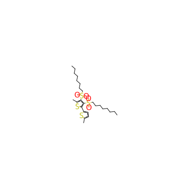 CCCCCCCCS(=O)(=O)c1c(C)sc(-c2ccc(C)s2)c1S(=O)(=O)CCCCCCCC